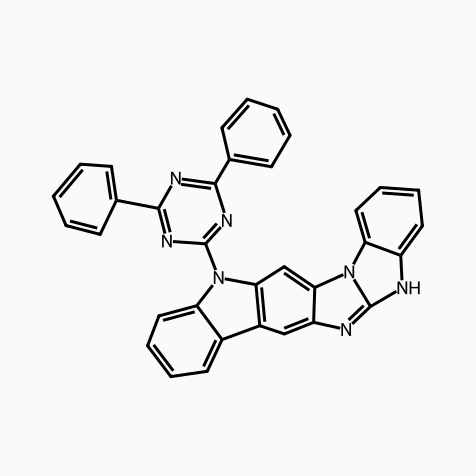 c1ccc(-c2nc(-c3ccccc3)nc(-n3c4ccccc4c4cc5nc6[nH]c7ccccc7n6c5cc43)n2)cc1